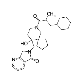 CC(CC1CCCCC1)C(=O)N1CCC(O)(CN2Cc3ncccc3C2=O)C2(CCCC2)C1